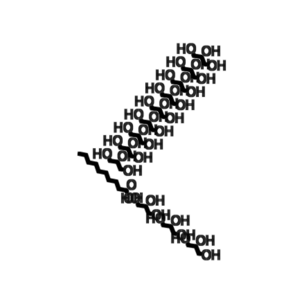 CCCCCCCCCC(=O)O.OCC(O)CO.OCC(O)CO.OCC(O)CO.OCC(O)CO.OCC(O)CO.OCC(O)CO.OCC(O)CO.OCC(O)CO.OCC(O)CO.OCC(O)CO.OCC(O)CO.OCC(O)CO